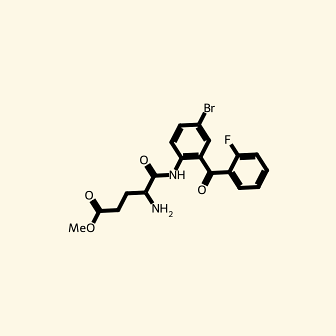 COC(=O)CCC(N)C(=O)Nc1ccc(Br)cc1C(=O)c1ccccc1F